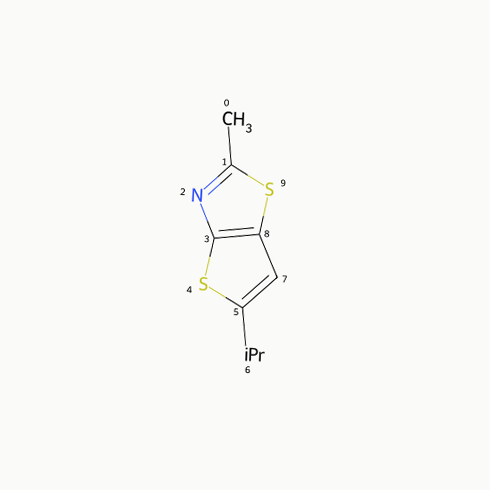 Cc1nc2sc(C(C)C)cc2s1